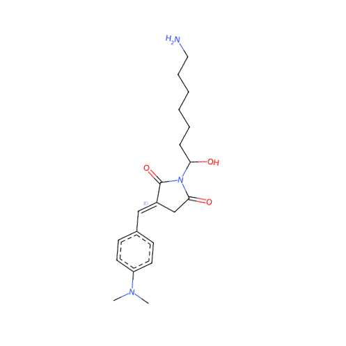 CN(C)c1ccc(/C=C2\CC(=O)N(C(O)CCCCCCN)C2=O)cc1